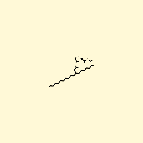 CCCCCCCCCCCC(CCCCCCC)CC(S)OC(CC)OC(O)([PH2]=O)C(=O)OCC